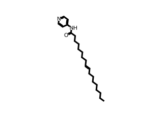 CCCCCCCCC=CCCCCCCCC(=O)Nc1ccncc1